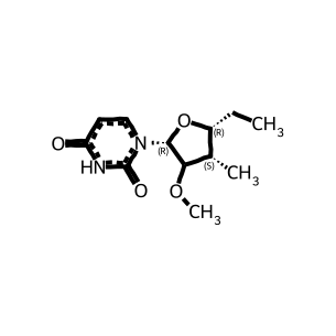 CC[C@H]1O[C@@H](n2ccc(=O)[nH]c2=O)C(OC)[C@H]1C